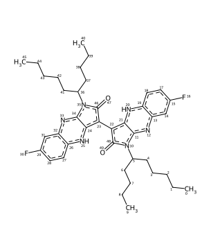 CCCCCC(CCCC)n1c2nc3cc(F)ccc3[nH]c-2c(-c2c3[nH]c4ccc(F)cc4nc-3n(C(CCCC)CCCCC)c2=O)c1=O